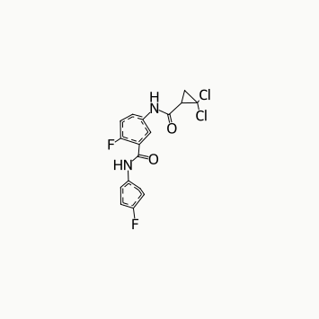 O=C(Nc1ccc(F)cc1)c1cc(NC(=O)C2CC2(Cl)Cl)ccc1F